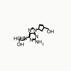 Nc1nc(NCP(O)O)c2ncn(C3C=CC(CO)C3)c2n1